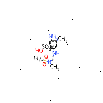 Cc1cc(NCCN(C)S(C)(=O)=O)ccc1N.O=S(=O)(O)O